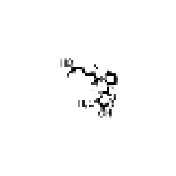 C[C@H](NC(=O)[C@@H]1CCCN1C(=O)[C@@H](N)CCC(=O)O)C(=O)O